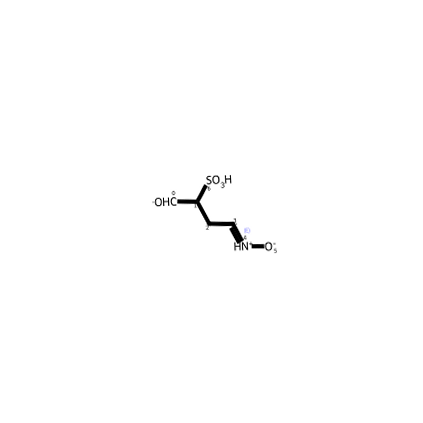 O=[C]C(C/[C]=[NH+]/[O-])S(=O)(=O)O